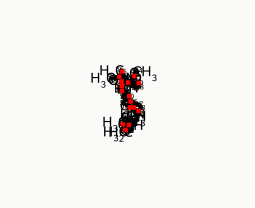 C=CCCN(Cc1nc2c([nH]1)-c1cc3c(cc1CC2)-c1ccc(-c2cnc(CN(CC(C#COC)C=C)C(=O)[C@H](NC(=O)OC)c4ccccc4)[nH]2)cc1CO3)C(O)[C@@H](NC(=O)OC)C(C)C